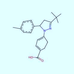 Cc1ccc(C2CC(C(C)(C)C)=NN2C2=CC=C(C(=O)O)CC2)cc1